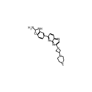 CN1CCN(C2CN(c3cnc4ccc(-c5ccc6c(c5)NC(N)O6)nc4n3)C2)CC1